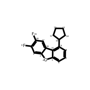 Fc1cc2oc3cccc(C4CCCC4)c3c2cc1F